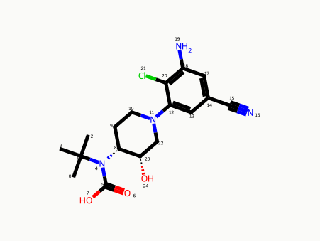 CC(C)(C)N(C(=O)O)[C@@H]1CCN(c2cc(C#N)cc(N)c2Cl)C[C@@H]1O